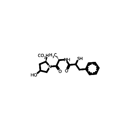 C[C@H](NC(=O)C(S)Cc1ccccc1)C(=O)N1CC(O)C[C@H]1C(=O)O